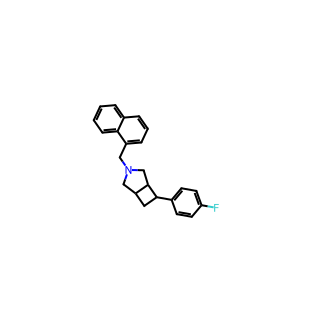 Fc1ccc(C2CC3CN(Cc4cccc5ccccc45)CC32)cc1